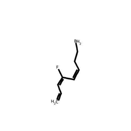 BCC/C=C\C(F)=C/C=C